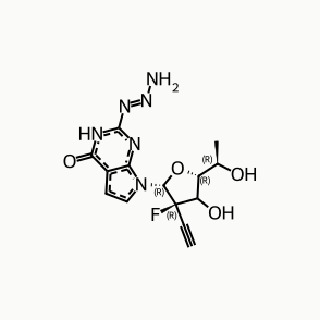 C#C[C@@]1(F)C(O)[C@@H]([C@@H](C)O)O[C@H]1n1ccc2c(=O)[nH]c(N=NN)nc21